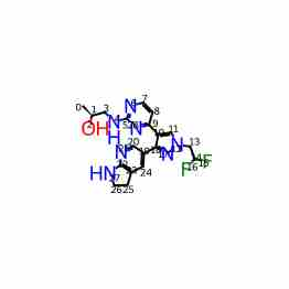 C[C@H](O)CNc1nccc(-c2cn(CC(F)F)nc2-c2cnc3c(c2)CCN3)n1